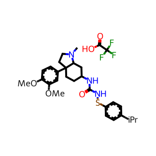 COc1ccc(C23CCC(NC(=O)NSc4ccc(C(C)C)cc4)CC2N(C)CC3)cc1OC.O=C(O)C(F)(F)F